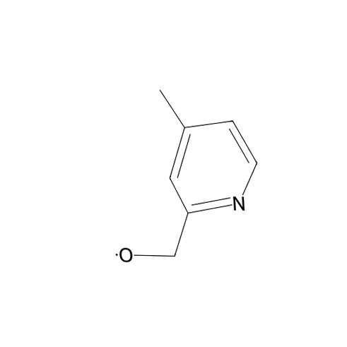 Cc1ccnc(C[O])c1